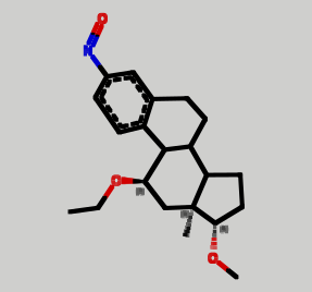 CCO[C@@H]1C[C@@]2(C)C(CC[C@@H]2OC)C2CCc3cc(N=O)ccc3C21